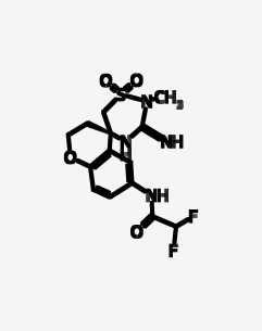 CN1C(=N)N[C@@]2(CCOc3ccc(NC(=O)C(F)F)cc32)CS1(=O)=O